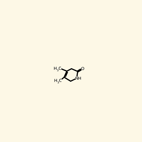 CC1=C(C)CC(=O)NC1